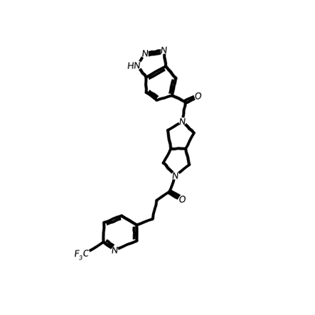 O=C(CCc1ccc(C(F)(F)F)nc1)N1CC2CN(C(=O)c3ccc4[nH]nnc4c3)CC2C1